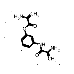 C=C(N)C(=O)Nc1cccc(OC(=O)C(=C)N)c1